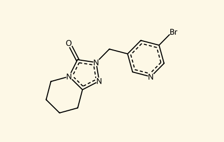 O=c1n(Cc2cncc(Br)c2)nc2n1CCCC2